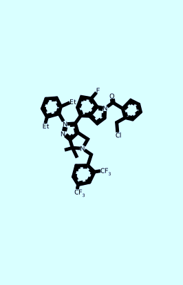 CCc1cccc(CC)c1-n1nc2c(c1-c1ccc(F)c3c1ccn3C(=O)c1ccccc1CCl)CN(Cc1ccc(C(F)(F)F)cc1C(F)(F)F)C2(C)C